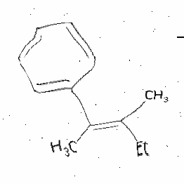 CCC(C)=C(C)c1ccccc1